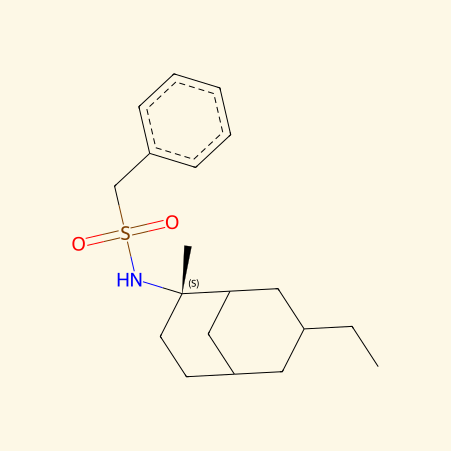 CCC1CC2CC[C@](C)(NS(=O)(=O)Cc3ccccc3)C(C1)C2